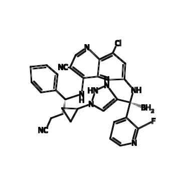 B[C@@](Nc1cc(Cl)c2ncc(C#N)c(N[C@H](CCC#N)c3ccccc3)c2c1)(C1=CN(C2CC2)NN1)c1cccnc1F